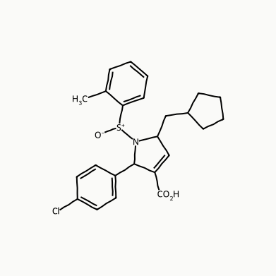 Cc1ccccc1[S+]([O-])N1C(CC2CCCC2)C=C(C(=O)O)C1c1ccc(Cl)cc1